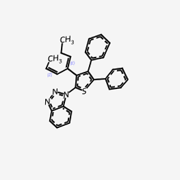 C/C=C\C(=C/CC)c1c(-n2nnc3ccccc32)sc(-c2ccccc2)c1-c1ccccc1